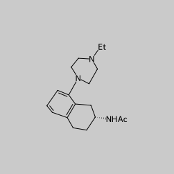 CCN1CCN(c2cccc3c2C[C@H](NC(C)=O)CC3)CC1